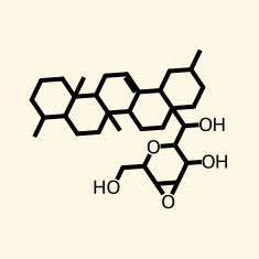 CC1CCC2(C(O)C3OC(CO)C4OC4C3O)CCC3C(=CCC4C3(C)CCC3C(C)CCCC34C)C2C1